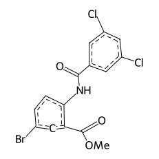 COC(=O)c1cc(Br)ccc1NC(=O)c1cc(Cl)cc(Cl)c1